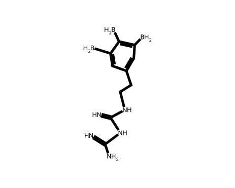 Bc1cc(CCNC(=N)NC(=N)N)cc(B)c1B